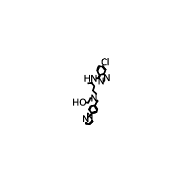 CC(CCCN(CCO)Cc1ccc(-n2cccn2)cc1)Nc1ncnc2cc(Cl)ccc12